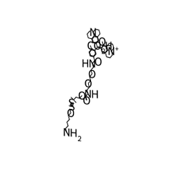 CC(C)(CCOC(=O)NCCOCCOCCNC(=O)c1ccc(C(=O)O)c(C2=c3cc4c5c(c3Oc3c2cc2c6c3CCCN6CCC2)CCC[N+]=5CCC4)c1)SSCOCCCCCN